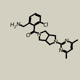 Cc1cc(C)nc(N2CC3CN(C(=O)c4c(Cl)cccc4CN)CC3C2)n1